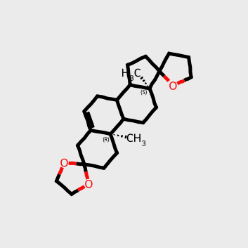 C[C@]12CCC3(CC1=CCC1C2CC[C@@]2(C)C1CCC21CCCO1)OCCO3